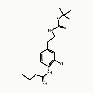 CCSC(=N)Nc1ccc(CCNC(=O)OC(C)(C)C)cc1Cl